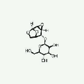 OCC1O[C@@H](O[C@@H]2C3CO[C@H](O3)C3O[C@@H]32)C(O)C(O)[C@@H]1O